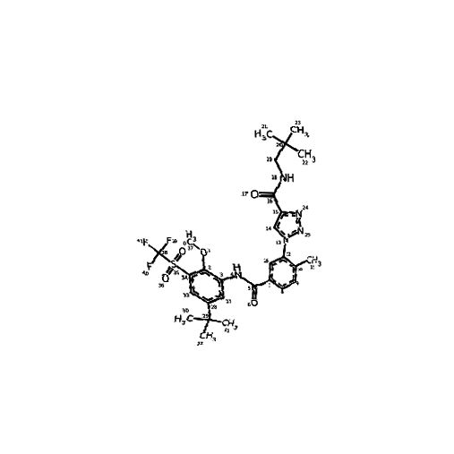 COc1c(NC(=O)c2ccc(C)c(-n3cc(C(=O)NCC(C)(C)C)nn3)c2)cc(C(C)(C)C)cc1S(=O)(=O)C(F)(F)F